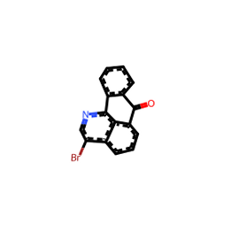 O=C1c2ccccc2-c2ncc(Br)c3cccc1c23